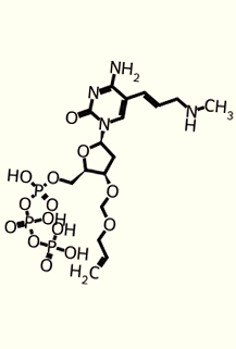 C=CCOCO[C@@H]1C[C@H](n2cc(/C=C/CNC)c(N)nc2=O)O[C@@H]1COP(=O)(O)OP(=O)(O)OP(=O)(O)O